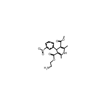 COC(=O)C1=C(C)NC(C)=C(C(=O)OCCN)C1c1cccc([N+](=O)[O-])c1